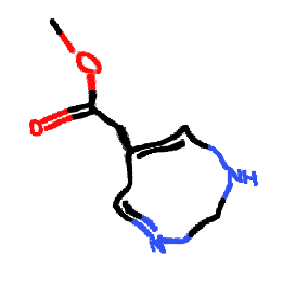 COC(=O)C1=CNCN=C1